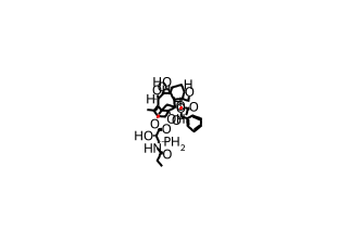 CCC(=O)N[C@@H](P)[C@@H](O)C(=O)O[C@H]1C[C@]2(O)C3(C)C[C@@]2(OC(=O)c2ccccc2)[C@@H]2[C@]4(OC(C)=O)CO[C@@H]4C[C@H](O)[C@@]2(C)C(=O)[C@H](O)C3=C1C